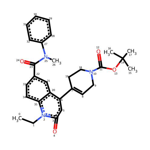 CCn1c(=O)cc(C2=CCN(C(=O)OC(C)(C)C)CC2)c2cc(C(=O)N(C)c3ccccc3)ccc21